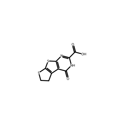 O=C(O)c1nc2sc3c(c2c(=O)[nH]1)CCS3